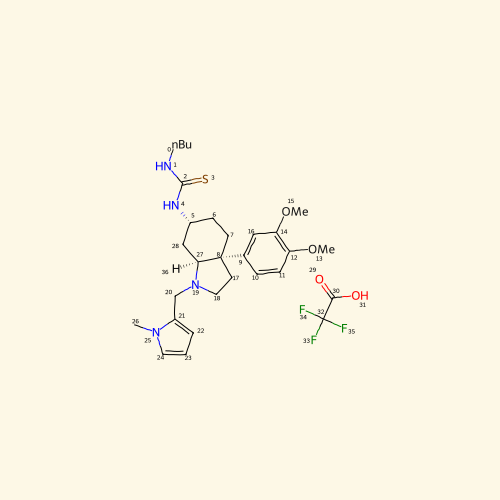 CCCCNC(=S)N[C@@H]1CC[C@@]2(c3ccc(OC)c(OC)c3)CCN(Cc3cccn3C)[C@H]2C1.O=C(O)C(F)(F)F